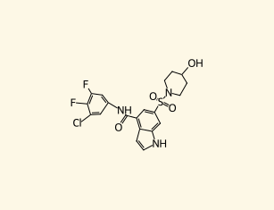 O=C(Nc1cc(F)c(F)c(Cl)c1)c1cc(S(=O)(=O)N2CCC(O)CC2)cc2[nH]ccc12